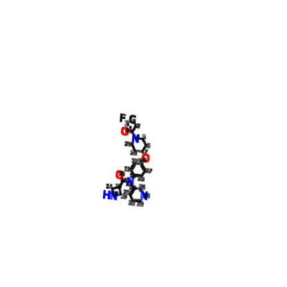 O=C(CC(F)(F)F)N1CCC(Oc2ccc(N(C(=O)C3CNC3)c3cccnc3)cc2)CC1